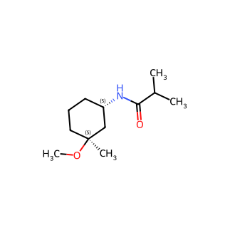 CO[C@@]1(C)CCC[C@H](NC(=O)C(C)C)C1